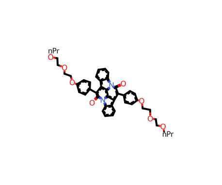 CCCOCCOCCOc1ccc(-c2c(=O)n3c4ccccc4c4c(-c5ccc(OCCOCCOCCC)cc5)c(=O)n5c6ccccc6c2c5c43)cc1